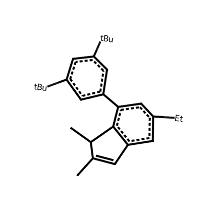 CCc1cc2c(c(-c3cc(C(C)(C)C)cc(C(C)(C)C)c3)c1)C(C)C(C)=C2